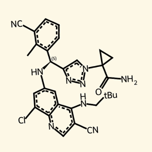 Cc1c(C#N)cccc1[C@H](Nc1cc(Cl)c2ncc(C#N)c(NCC(C)(C)C)c2c1)c1cn(C2(C(N)=O)CC2)nn1